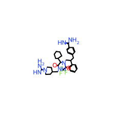 N=C(N)c1ccc(CC(CN(C(=O)C(F)(F)F)C(C(=O)NCC2CCN(C(=N)N)CC2)C2CCCCC2)c2ccccc2)cc1